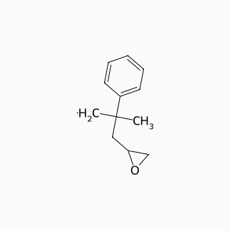 [CH2]C(C)(CC1CO1)c1ccccc1